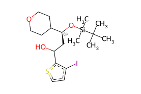 CC(C)(C)[Si](C)(C)O[C@@H](CC(O)c1sccc1I)C1CCOCC1